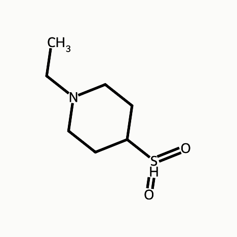 CCN1CCC([SH](=O)=O)CC1